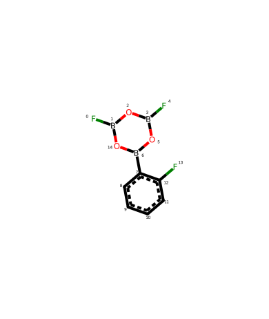 FB1OB(F)OB(c2ccccc2F)O1